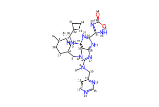 CC1CCC(Cn2c(N(C)Cc3ccncn3)nc3nc(-c4nc(=O)o[nH]4)nc(N[C@H](C)C4CCC4)c32)CC1